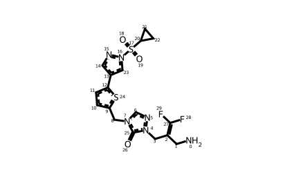 NCC(Cn1ncn(Cc2ccc(-c3cnn(S(=O)(=O)C4CC4)c3)s2)c1=O)=C(F)F